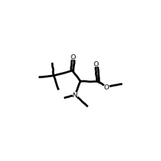 COC(=O)C(C(=O)C(C)(C)C)N(C)C